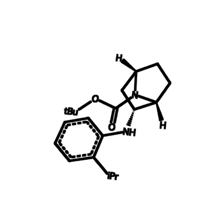 CC(C)c1ccccc1N[C@@H]1C[C@@H]2CC[C@H]1N2C(=O)OC(C)(C)C